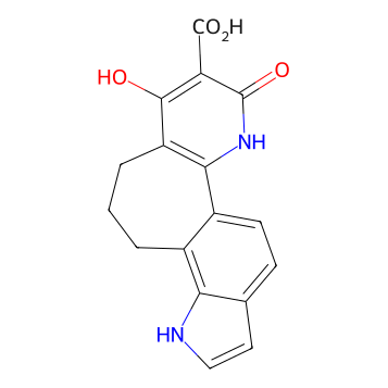 O=C(O)c1c(O)c2c([nH]c1=O)-c1ccc3cc[nH]c3c1CCC2